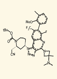 COc1c(C)cccc1-c1c(C(F)(F)F)cc2c(nc(N3CC(C)(N(C)C)C3)c3nnn([C@H]4CCN(C(=O)OC(C)(C)C)[C@@H](CC#N)C4)c32)c1F